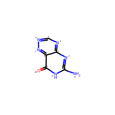 Nc1nc2ncnnc2c(=O)[nH]1